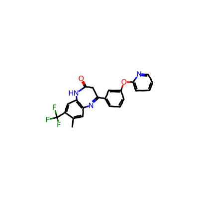 Cc1cc2c(cc1C(F)(F)F)NC(=O)CC(c1cccc(Oc3ccccn3)c1)=N2